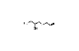 C=CCOC[C@@H](O)CO